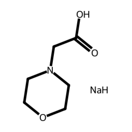 O=C(O)CN1CCOCC1.[NaH]